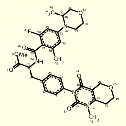 COC(=O)[C@H](Cc1ccc(-n2c(=O)c3c(n(C)c2=O)CCOC3)cc1)NC(=O)c1c(C)cc(N2CCOC[C@@H]2C(F)(F)F)cc1F